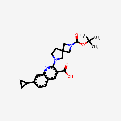 CC(C)(C)OC(=O)N1CC2(CCN(c3nc4cc(C5CC5)ccc4cc3C(=O)O)C2)C1